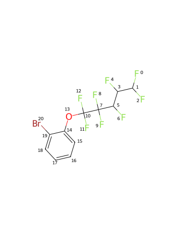 FC(F)C(F)C(F)C(F)(F)C(F)(F)Oc1ccccc1Br